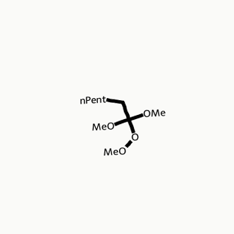 CCCCCCC(OC)(OC)OOC